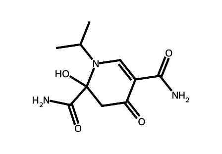 CC(C)N1C=C(C(N)=O)C(=O)CC1(O)C(N)=O